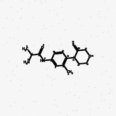 Cc1cc(NC(=O)C(C)N)ccc1N1CCOCC1=S